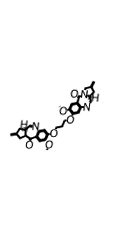 C=C1CC2C(=O)c3cc(OC)c(OCCCOc4cc5c(cc4OC)C(=O)N4CC(=C)C[C@H]4C=N5)cc3N=C[C@@H]2C1